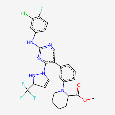 COC(=O)C1CCCCN1c1cccc(-c2cnc(Nc3ccc(F)c(Cl)c3)nc2N2C=CC(C(F)(F)F)N2)c1